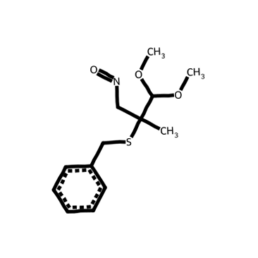 COC(OC)C(C)(CN=O)SCc1ccccc1